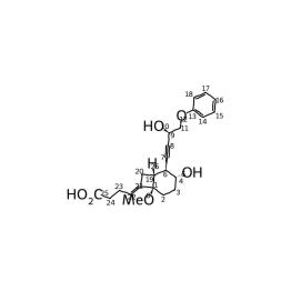 CO[C@]12CC[C@@H](O)[C@H](C#C[C@@H](O)COc3ccccc3)[C@H]1CC2=CCCC(=O)O